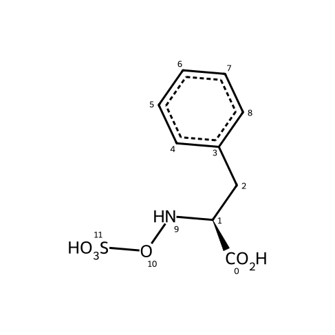 O=C(O)[C@H](Cc1ccccc1)NOS(=O)(=O)O